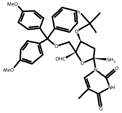 COc1ccc(C(OC[C@@]2(C=O)O[C@@]([SiH3])(n3cc(C)c(=O)[nH]c3=O)C[C@@H]2OC(C)(C)C(C)C)(c2ccccc2)c2ccc(OC)cc2)cc1